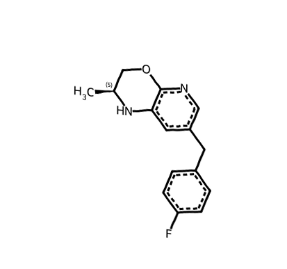 C[C@H]1COc2ncc(Cc3ccc(F)cc3)cc2N1